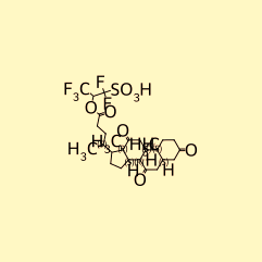 C[C@@H](CCC(=O)OC(C(F)(F)F)C(F)(F)S(=O)(=O)O)C1CC[C@H]2[C@@H]3C(=O)C[C@@H]4CC(=O)CC[C@]4(C)[C@H]3CC(=O)[C@]12C